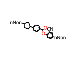 CCCCCCCCCc1ccc(OC(=O)c2ccc(C3CCC(CCCCCCCCC)CC3)cc2)c(C#N)c1